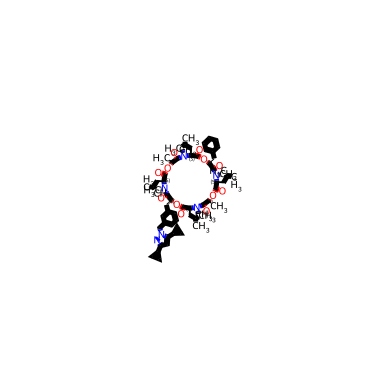 CC(C)C[C@H]1C(=O)O[C@H](Cc2cccc(Cn3nc(C4CC4)cc3C3CC3)c2)C(=O)N(C)[C@@H](CC(C)C)C(=O)O[C@H](C)C(=O)N(C)[C@@H](CC(C)C)C(=O)O[C@H](Cc2ccccc2)C(=O)N(C)[C@@H](CC(C)C)C(=O)O[C@H](C)C(=O)N1C